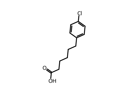 O=C(O)CCCCCc1ccc(Cl)cc1